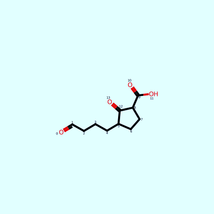 O=CCCCC1CCC(C(=O)O)C1=O